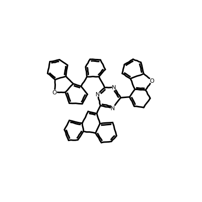 C1=C(c2nc(-c3ccccc3-c3cccc4oc5ccccc5c34)nc(-c3cc4ccccc4c4ccccc34)n2)c2c(oc3ccccc23)CC1